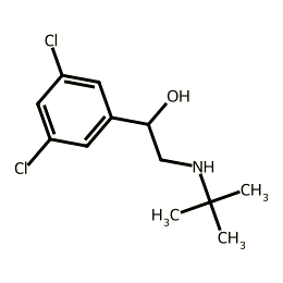 CC(C)(C)NCC(O)c1cc(Cl)cc(Cl)c1